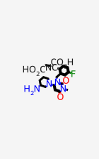 Cn1c(=O)cc(N2CCC[C@@H](N)C2)n(Cc2cc(F)ccc2C#N)c1=O.O=C(O)CCC(=O)O